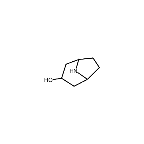 OC1C[C]2CCC(C1)N2